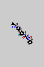 Cn1c(C(=O)Nc2ccc(Oc3ccnc(NC(=O)C4CC4)c3)c(F)c2)nn(-c2ccccc2F)c1=O